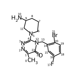 Cc1nnc(N2CCCC(N)C2)n(Cc2cc(F)ccc2Br)c1=O